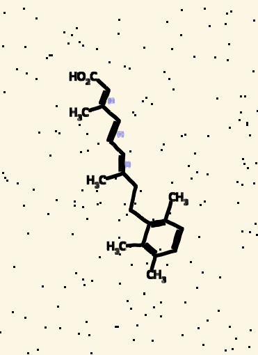 CC(/C=C/C=C(\C)CCc1c(C)ccc(C)c1C)=C\C(=O)O